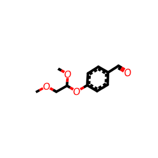 COCC(OC)Oc1ccc(C=O)cc1